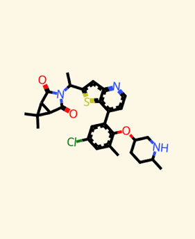 Cc1cc(Cl)cc(-c2ccnc3cc(C(C)N4C(=O)C5C(C4=O)C5(C)C)sc23)c1OC1CCC(C)NC1